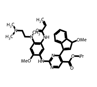 C=CC(=O)Nc1cc(Nc2ncc(C(=O)OC(C)C)c(C3=CC(OC)c4ccccc43)n2)c(OC)cc1N(C)CCN(C)C